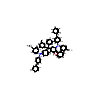 Cc1cccc(C2(c3ccccc3)c3cc(N(c4ccc(-c5ccccc5)cc4)c4ccc(C(C)(C)C)cc4)ccc3-c3c2cc(N(c2ccc(-c4ccccc4)cc2)c2ccc(C(C)(C)C)cc2)c2c3oc3ccccc32)c1